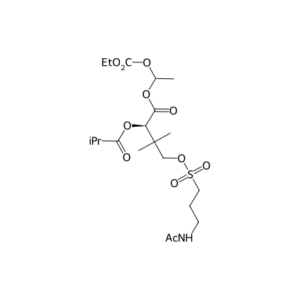 CCOC(=O)OC(C)OC(=O)[C@H](OC(=O)C(C)C)C(C)(C)COS(=O)(=O)CCCNC(C)=O